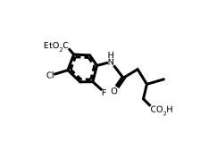 CCOC(=O)c1cc(NC(=O)CC(C)CC(=O)O)c(F)cc1Cl